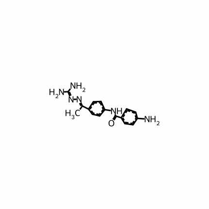 C/C(=N\N=C(N)N)c1ccc(NC(=O)c2ccc(N)cc2)cc1